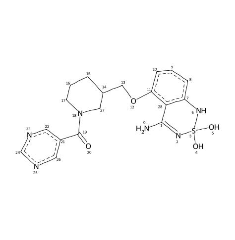 NC1=NS(O)(O)Nc2cccc(OCC3CCCN(C(=O)c4cncnc4)C3)c21